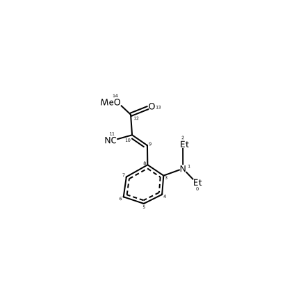 CCN(CC)c1ccccc1/C=C(\C#N)C(=O)OC